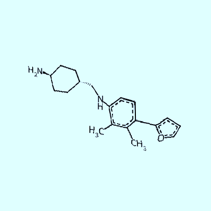 Cc1c(NC[C@H]2CC[C@H](N)CC2)ccc(-c2ccco2)c1C